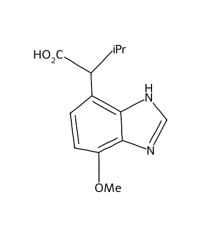 COc1ccc(C(C(=O)O)C(C)C)c2[nH]cnc12